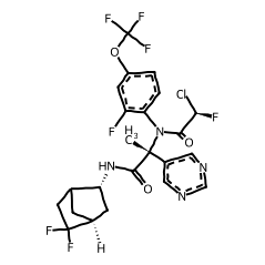 C[C@](C(=O)N[C@@H]1C[C@@H]2CC1CC2(F)F)(c1cncnc1)N(C(=O)[C@H](F)Cl)c1ccc(OC(F)(F)F)cc1F